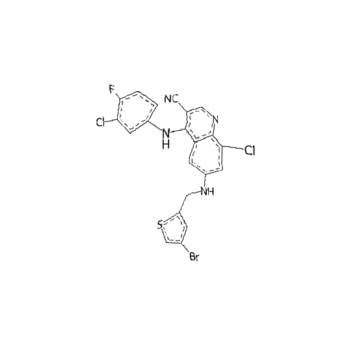 N#Cc1cnc2c(Cl)cc(NCc3cc(Br)cs3)cc2c1Nc1ccc(F)c(Cl)c1